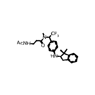 CC(=O)NCCC(=O)N(C)C(c1ccc(NC2Cc3ccccc3C2(C)C)cc1)C(F)(F)F